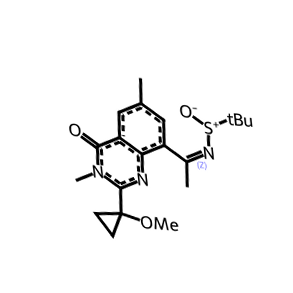 COC1(c2nc3c(/C(C)=N\[S+]([O-])C(C)(C)C)cc(C)cc3c(=O)n2C)CC1